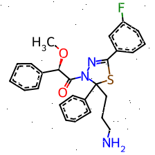 CO[C@@H](C(=O)N1N=C(c2cccc(F)c2)SC1(CCCN)c1ccccc1)c1ccccc1